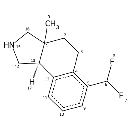 CC12CCc3c(C(F)F)cccc3[C@H]1CNC2